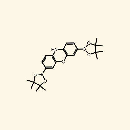 CC1(C)OB(c2ccc3c(c2)Oc2cc(B4OC(C)(C)C(C)(C)O4)ccc2N3)OC1(C)C